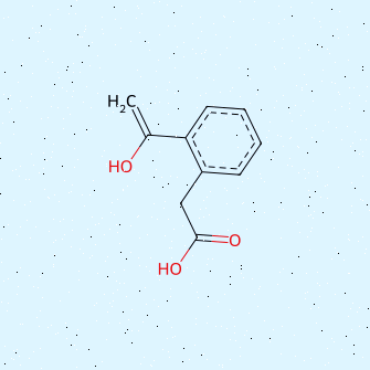 C=C(O)c1ccccc1CC(=O)O